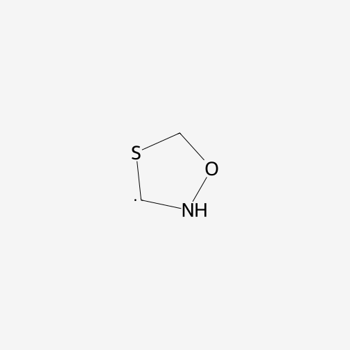 [CH]1NOCS1